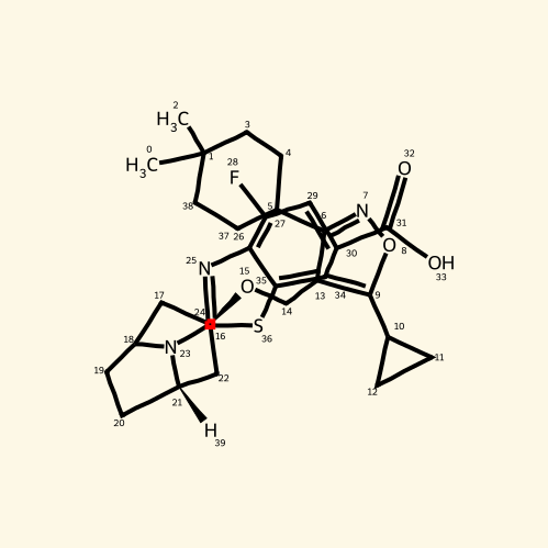 CC1(C)CCC(c2noc(C3CC3)c2CO[C@@H]2CC3CC[C@@H](C2)N3c2nc3c(F)cc(C(=O)O)cc3s2)CC1